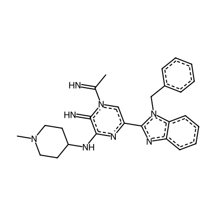 CC(=N)n1cc(-c2nc3ccccc3n2Cc2ccccc2)nc(NC2CCN(C)CC2)c1=N